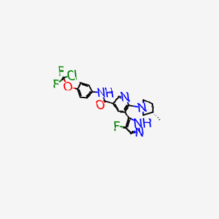 C[C@H]1CCN(c2ncc(C(=O)Nc3ccc(OC(F)(F)Cl)cc3)cc2-c2[nH]ncc2F)C1